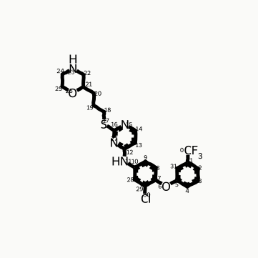 FC(F)(F)c1cccc(Oc2ccc(Nc3ccnc(SCCCC4CNCCO4)n3)cc2Cl)c1